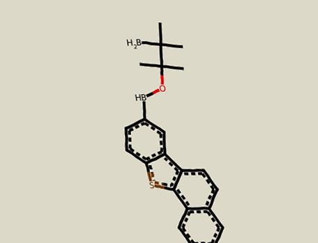 BC(C)(C)C(C)(C)OBc1ccc2sc3c4ccccc4ccc3c2c1